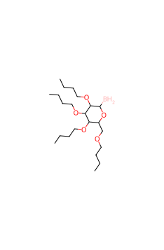 BC1OC(COCCCC)C(OCCCC)C(OCCCC)C1OCCCC